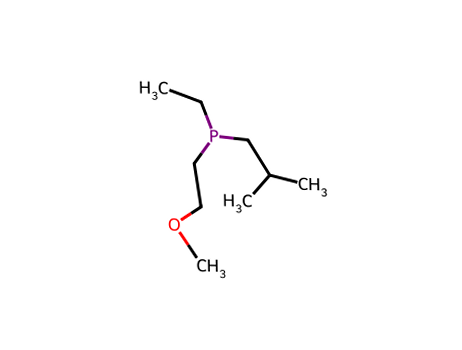 CCP(CCOC)CC(C)C